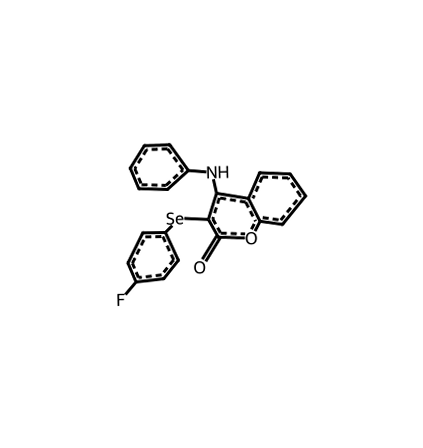 O=c1oc2ccccc2c(Nc2ccccc2)c1[Se]c1ccc(F)cc1